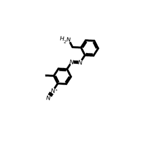 Cc1cc(N=Nc2ccccc2CN)ccc1[N+]#N